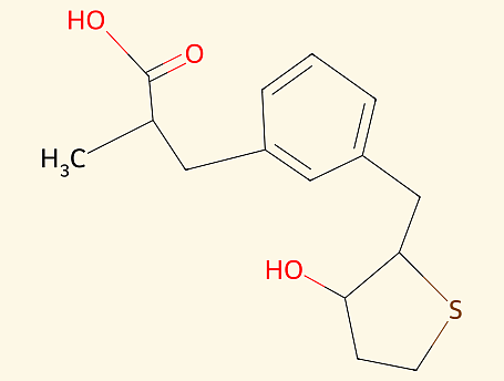 CC(Cc1cccc(CC2SCCC2O)c1)C(=O)O